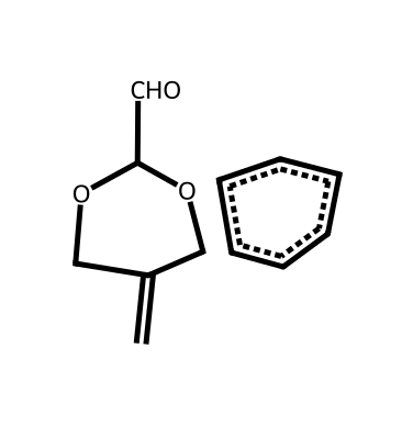 C=C1COC(C=O)OC1.c1ccccc1